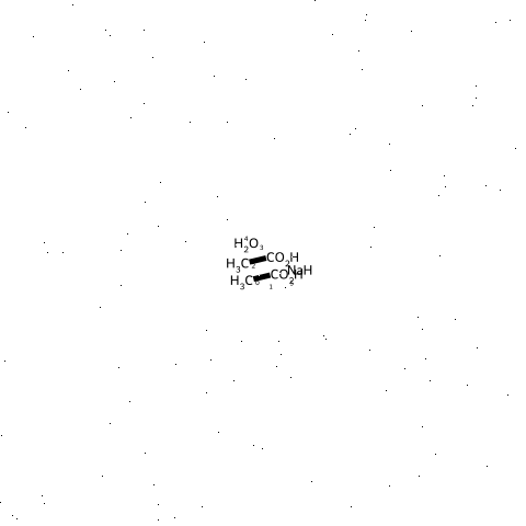 CC(=O)O.CC(=O)O.O.[NaH]